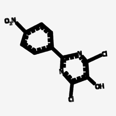 O=[N+]([O-])c1ccc(-c2nc(Cl)c(O)c(Cl)n2)cc1